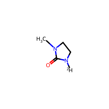 [2H]N1CCN(C)C1=O